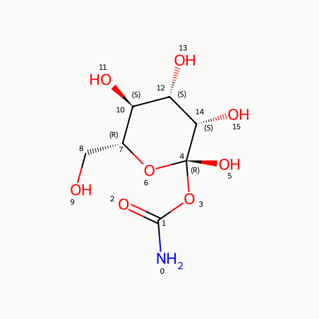 NC(=O)O[C@]1(O)O[C@H](CO)[C@@H](O)[C@H](O)[C@@H]1O